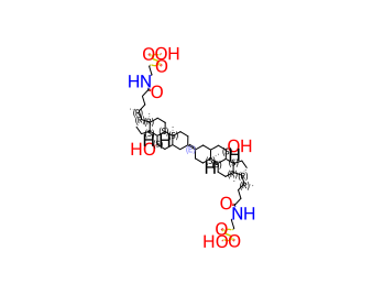 C[C@H](CCC(=O)NCCS(=O)(=O)O)[C@H]1CC[C@H]2C3[C@@H](O)CC4C/C(=C5\CC[C@@]6(C)C(C5)C[C@H](O)C5[C@@H]7CC[C@H]([C@H](C)CCC(=O)NCCS(=O)(=O)O)[C@@]7(C)CC[C@@H]56)CC[C@]4(C)[C@H]3CC[C@]12C